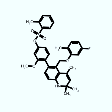 COc1cc(OS(=O)(=O)c2ccccc2C)ccc1-c1ccc2c(c1COc1cc(F)ccc1C)C(C)=CC(C)(C)N2